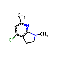 Cc1cc(Cl)c2c(n1)N(C)CC2